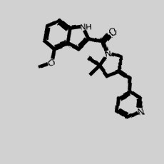 COc1cccc2[nH]c(C(=O)N3CC(Cc4cccnc4)CC3(C)C)cc12